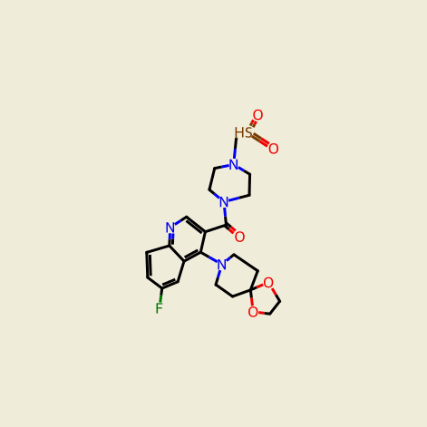 O=C(c1cnc2ccc(F)cc2c1N1CCC2(CC1)OCCO2)N1CCN(C[SH](=O)=O)CC1